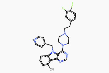 N#Cc1cccc2c1c1ncnc(N3CCN(CCc4ccc(F)c(F)c4)CC3)c1n2Cc1ccncc1